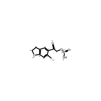 O=C(CO[PH](=O)O)c1cc2c(cc1F)OCC2